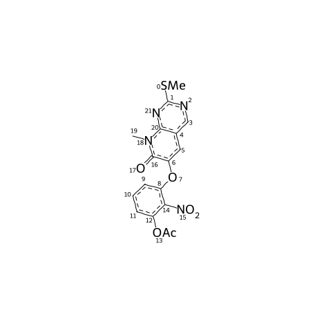 CSc1ncc2cc(Oc3cccc(OC(C)=O)c3[N+](=O)[O-])c(=O)n(C)c2n1